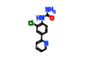 NC(=O)Nc1ccc(-c2ccccn2)cc1Cl